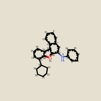 c1ccc(Nc2cc3ccccc3c3c2oc2c(C4CCCCC4)cccc23)cc1